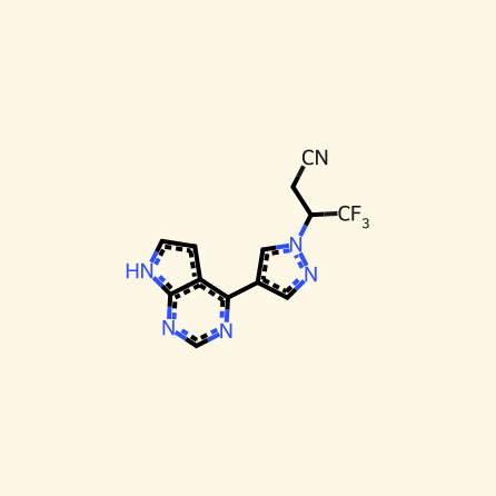 N#CCC(n1cc(-c2ncnc3[nH]ccc23)cn1)C(F)(F)F